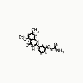 CCOc1cc(C)cc2nc(-c3cccc(OCC(N)=O)c3)[nH]c(=O)c12